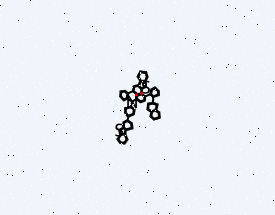 c1ccc(-c2ccc3ccccc3c2)c(-c2ccc(N(c3ccc(-c4ccc5c(c4)sc4ccccc45)cc3)c3ccccc3-c3ccc4sc5ccccc5c4c3)cc2)c1